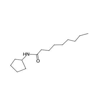 CCCCCCCCC(=O)NC1CCCC1